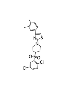 Cc1ccc(-c2csc(N3CCC(S(=O)(=O)c4cc(Cl)ccc4Cl)CC3)n2)cc1C